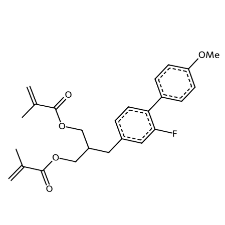 C=C(C)C(=O)OCC(COC(=O)C(=C)C)Cc1ccc(-c2ccc(OC)cc2)c(F)c1